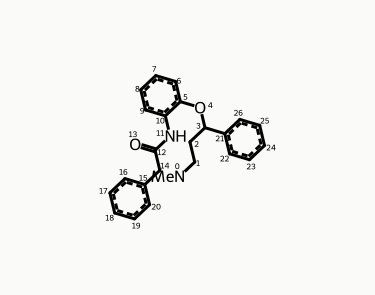 CNCCC(Oc1ccccc1NC(=O)Cc1ccccc1)c1ccccc1